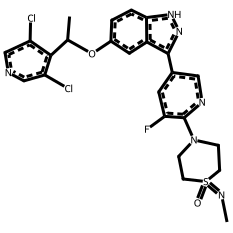 CN=S1(=O)CCN(c2ncc(-c3n[nH]c4ccc(OC(C)c5c(Cl)cncc5Cl)cc34)cc2F)CC1